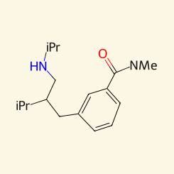 CNC(=O)c1cccc(CC(CNC(C)C)C(C)C)c1